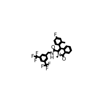 Cc1cc(F)ccc1-c1c(C(=O)NCc2cc(C(F)(F)F)cc(C(F)(F)F)c2)n(C)c(=O)c2ccccc12